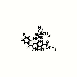 COC(=O)c1nc(NS(=O)(=O)C(C)C)c2cc(Cc3ccc(F)cc3)cnc2c1O